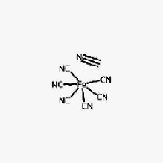 C#N.N#[C][Fe]([C]#N)([C]#N)([C]#N)([C]#N)[C]#N